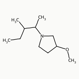 CCC(C)C(C)N1CCC(OC)C1